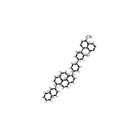 N#Cc1ccc2c3c(cccc13)Oc1cc(-c3ccc(-c4ccc5ccc6c(-c7ccc8ccccc8c7)ccc7ccc4c5c76)cc3)ccc1-2